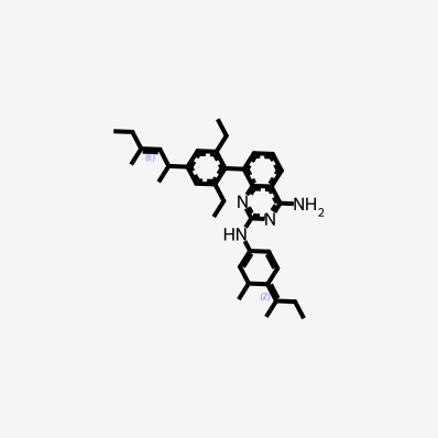 CC/C(C)=C1\C=CC(Nc2nc(N)c3cccc(-c4c(CC)cc(C(C)/C=C(\C)CC)cc4CC)c3n2)=CC1C